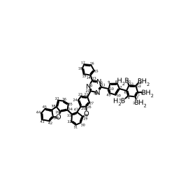 Bc1c(B)c(B)c(-c2ccc(-c3nc(-c4ccccc4)nc(-c4ccc5c(c4)oc4cccc(-c6cccc7c6oc6ccccc67)c45)n3)cc2)c(B)c1B